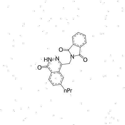 CCCc1ccc2c(=O)[nH]nc(CN3C(=O)c4ccccc4C3=O)c2c1